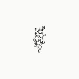 C=CCC1(C)C(=O)N(c2ccc(C#N)c(C(F)(F)F)[c]2[Y])C(=O)C1(C)C